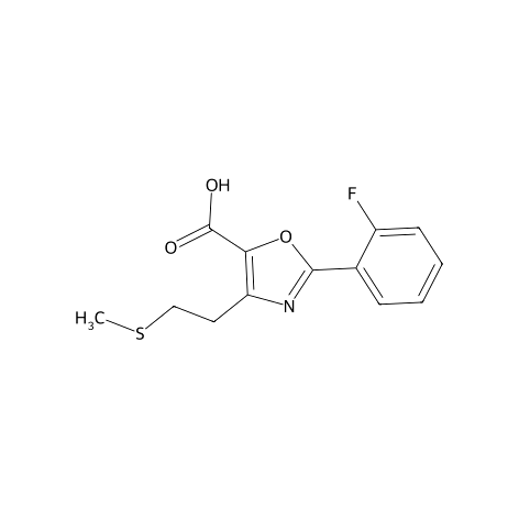 CSCCc1nc(-c2ccccc2F)oc1C(=O)O